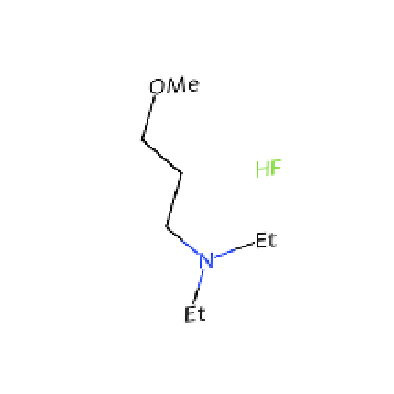 CCN(CC)CCCOC.F